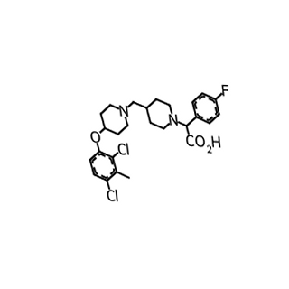 Cc1c(Cl)ccc(OC2CCN(CC3CCN(C(C(=O)O)c4ccc(F)cc4)CC3)CC2)c1Cl